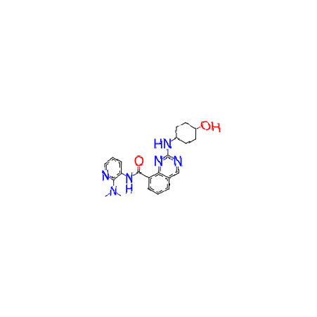 CN(C)c1ncccc1NC(=O)c1cccc2cnc(NC3CCC(O)CC3)nc12